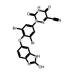 N#Cc1nn(-c2cc(Br)c(Oc3ccc4nc(O)[nH]c4c3)c(Br)c2)c(=O)[nH]c1=O